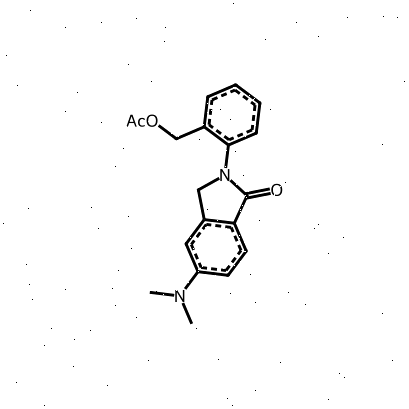 CC(=O)OCc1ccccc1N1Cc2cc(N(C)C)ccc2C1=O